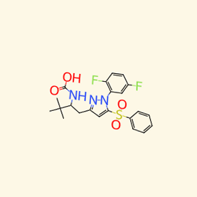 CC(C)(C)C(Cc1cc(S(=O)(=O)c2ccccc2)n(-c2cc(F)ccc2F)n1)NC(=O)O